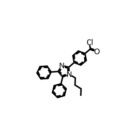 CCCCn1c(-c2ccc(C(=O)Cl)cc2)nc(-c2ccccc2)c1-c1ccccc1